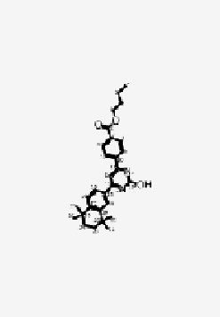 CCCCOC(=O)c1ccc(-c2cc(-c3ccc4c(c3)C(C)(C)CCC4(C)C)nc(O)n2)cc1